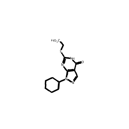 O=C(O)CSc1nc2c(cnn2C2CCCCC2)c(=O)[nH]1